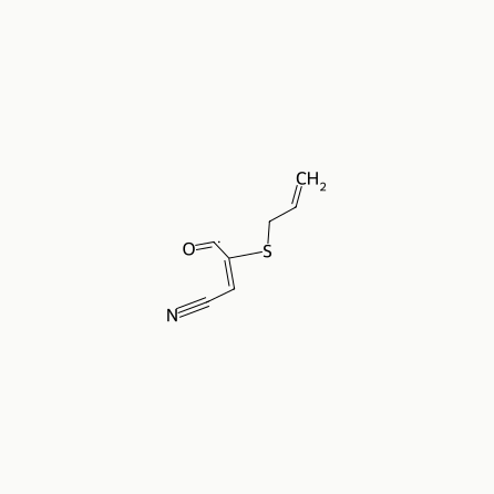 C=CCSC([C]=O)=CC#N